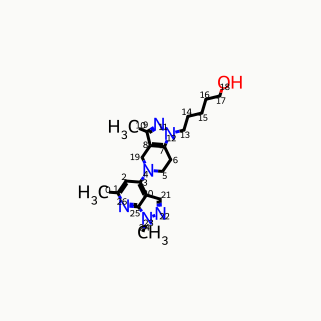 Cc1cc(N2CCc3c(c(C)nn3CCCCCO)C2)c2cnn(C)c2n1